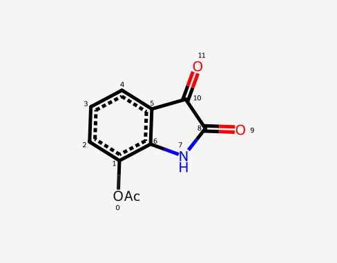 CC(=O)Oc1cccc2c1NC(=O)C2=O